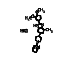 COc1ccc(-c2nc3c(C)cc(C4CCN(C5CC6CCC(C5)N6)CC4)cc3[nH]2)cc1OC.Cl.Cl